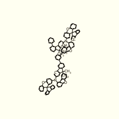 C=C(/C=C\C1=C(C)C(C)(C)c2cccc(-c3ccccc3)c21)N(c1ccc2c(c1)C1(c3ccccc3O2)c2ccccc2-c2ccccc21)c1cccc2oc3cc(-c4cccc(-c5ccc6c(c5)-c5ccc(N(c7ccc8c(c7)C7(c9ccccc9O8)c8ccccc8-c8ccccc87)c7cccc8oc9ccccc9c78)cc5C6(C)C)c4)ccc3c12